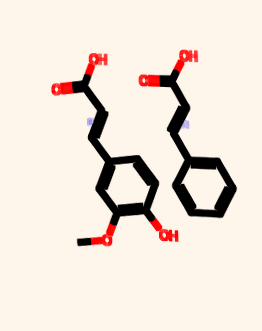 COc1cc(/C=C/C(=O)O)ccc1O.O=C(O)/C=C/c1ccccc1